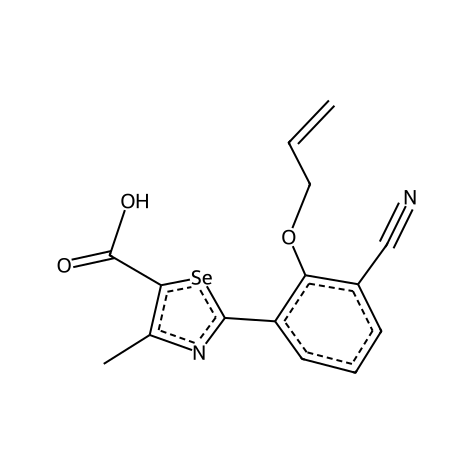 C=CCOc1c(C#N)cccc1-c1nc(C)c(C(=O)O)[se]1